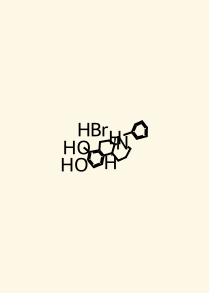 Br.Oc1ccc2c(c1O)CC[C@H]1[C@H]2CCCN1Cc1ccccc1